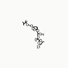 C=C(C)C(=O)OCCOC(=O)/C=C\C(=O)OCC(O)COC(=O)C1OC(C)CC(CC)O1